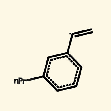 C=[C]c1cccc(CCC)c1